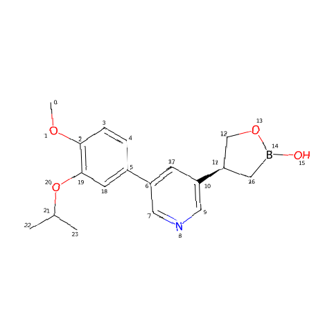 COc1ccc(-c2cncc([C@H]3COB(O)C3)c2)cc1OC(C)C